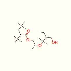 CCC(CO)C(C)(C)OC(C)COC(=O)C(CC(C)(C)C)C(C)(C)C